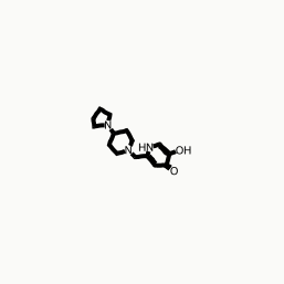 O=c1cc(CN2CCC(N3CCCC3)CC2)[nH]cc1O